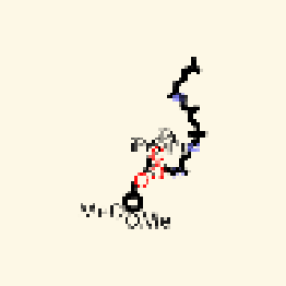 C=C(C/C=C(\C)CCC=C(C)C)CCC(C)(C)/C=C/CC/C(C)=C\CO[C@H](COCc1ccc(OC)c(OC)c1)CO[Si](C(C)C)(C(C)C)C(C)C